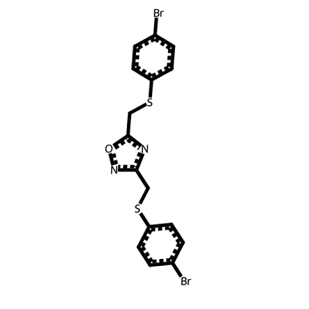 Brc1ccc(SCc2noc(CSc3ccc(Br)cc3)n2)cc1